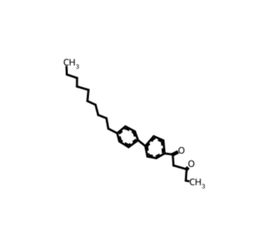 CCCCCCCCCCc1ccc(-c2ccc(C(=O)CC(=O)CC)cc2)cc1